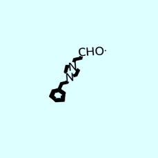 O=[C]CCN1CCN(CCc2ccccc2)CC1